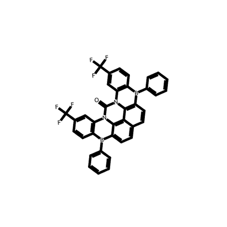 O=C1N2c3cc(C(F)(F)F)ccc3B(c3ccccc3)c3ccc4ccc5c(c4c32)N1c1cc(C(F)(F)F)ccc1B5c1ccccc1